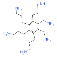 NCCCc1c(CN)c(CN)c(CCCN)c(CCCN)c1CCCN